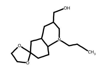 CCCN1CC(CO)CC2CC3(CCC21)OCCO3